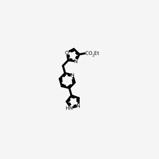 CCOC(=O)c1coc(Cc2ccc(-c3cn[nH]c3)cn2)n1